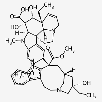 CC[C@]1(O)C[C@@H]2CN(CCc3c([nH]c4ccccc34)[C@@](C(=O)OC)(C3C=C4C(=CC3OC)N(C)[C@H]3[C@@](O)(C(=O)O)[C@H](O)[C@]5(CC)C=CCN6CC[C@]43[C@@H]65)C2)C1